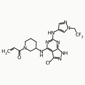 C=CC(=O)N1CCCC(Nc2nc(Nc3cnn(CC(F)(F)F)c3)nc3[nH]nc(Cl)c23)C1